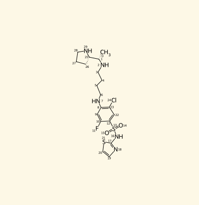 C[C@H](NCCCCNc1cc(F)c(S(=O)(=O)Nc2nccs2)cc1Cl)[C@@H]1CCCN1